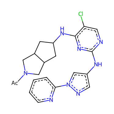 CC(=O)N1CC2CC(Nc3nc(Nc4cnn(-c5ccccn5)c4)ncc3Cl)CC2C1